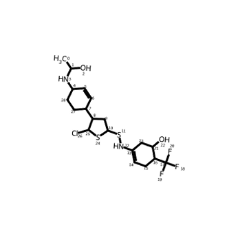 CC(O)NC1C=CC(C2CC(SNC3=CCC(C(F)(F)F)C(O)C3)SC2Cl)CC1